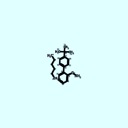 CCCCCC.COc1ccccc1-c1ccc(C(C)(C)C)cc1